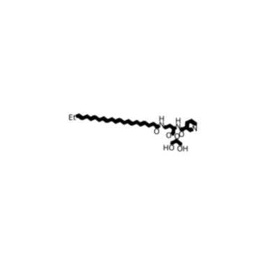 CCC=CCC=CCC=CCC=CCC=CCC=CCCC(=O)NCCC(NC(=O)c1cccnc1)C(=O)OC(CO)CO